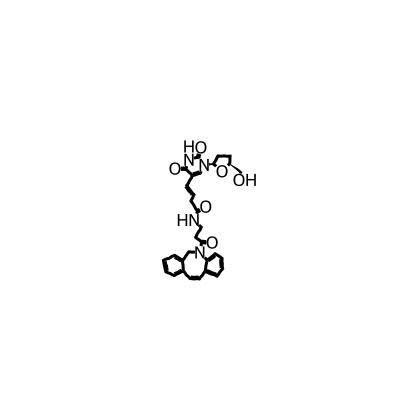 O=C(C/C=C/c1cn([C@H]2CC[C@@H](CO)O2)c(=O)[nH]c1=O)NCCC(=O)N1Cc2ccccc2/C=C\c2ccccc21